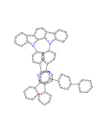 c1ccc(-c2ccc(-c3ccc(-n4c5ccccc5c5ccc6c7ccccc7n(-c7ccc(-c8nc(-c9ccccc9)cc(-c9ccc(-c%10ccccc%10)cc9)n8)cc7)c6c54)cc3)cc2)cc1